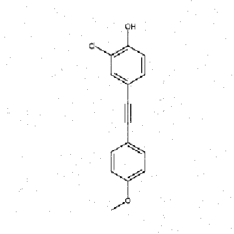 COc1ccc(C#Cc2ccc(O)c(Cl)c2)cc1